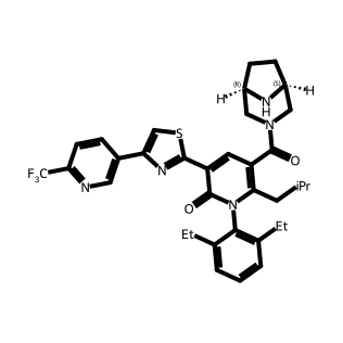 CCc1cccc(CC)c1-n1c(CC(C)C)c(C(=O)N2C[C@H]3CC[C@@H](C2)N3)cc(-c2nc(-c3ccc(C(F)(F)F)nc3)cs2)c1=O